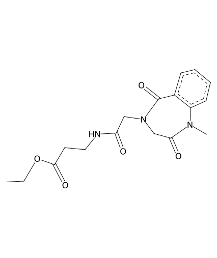 CCOC(=O)CCNC(=O)CN1CC(=O)N(C)c2ccccc2C1=O